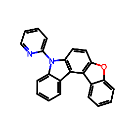 c1ccc(-n2c3ccccc3c3c4c(ccc32)oc2ccccc24)nc1